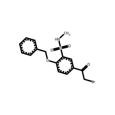 CNS(=O)(=O)c1cc(C(=O)CBr)ccc1OCc1ccccc1